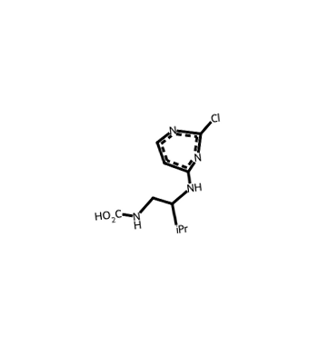 CC(C)C(CNC(=O)O)Nc1ccnc(Cl)n1